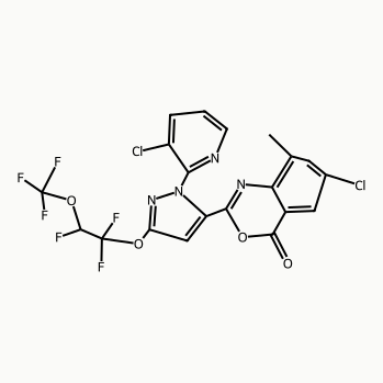 Cc1cc(Cl)cc2c(=O)oc(-c3cc(OC(F)(F)C(F)OC(F)(F)F)nn3-c3ncccc3Cl)nc12